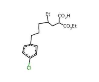 CCOC(=O)C(CC(CC)CCCc1ccc(Cl)cc1)C(=O)O